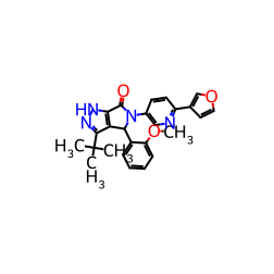 COc1ccccc1C1c2c(C(C)(C)C)n[nH]c2C(=O)N1c1ccc(-c2ccoc2)nc1